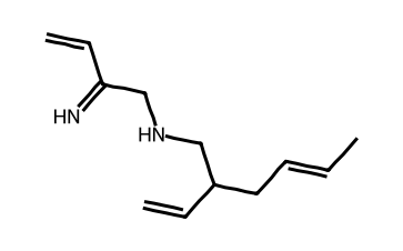 C=CC(=N)CNCC(C=C)C/C=C/C